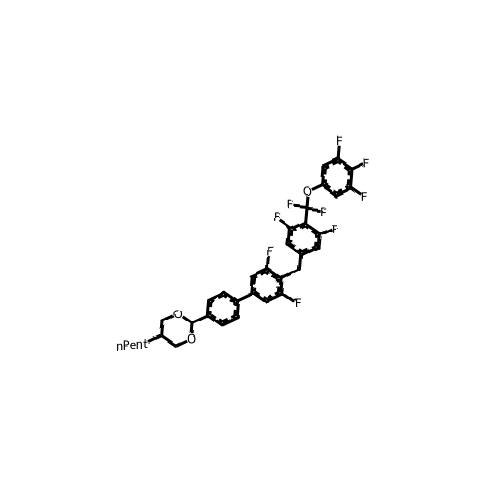 CCCCCC1COC(c2ccc(-c3cc(F)c(Cc4cc(F)c(C(F)(F)Oc5cc(F)c(F)c(F)c5)c(F)c4)c(F)c3)cc2)OC1